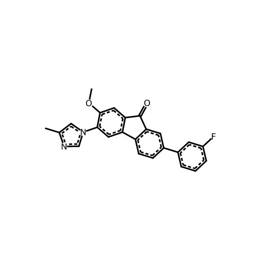 COc1cc2c(cc1-n1cnc(C)c1)-c1ccc(-c3cccc(F)c3)cc1C2=O